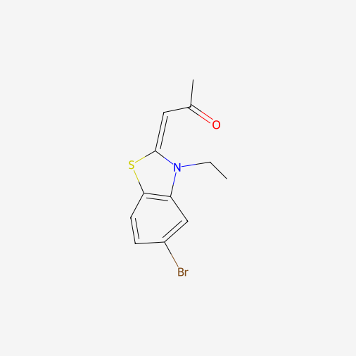 CCN1C(=CC(C)=O)Sc2ccc(Br)cc21